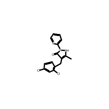 Cc1[nH]n(-c2ccccn2)c(=O)c1Cc1ccc(Cl)cc1Cl